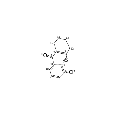 O=c1c2c(sc3c(Cl)cccc13)CCCC2